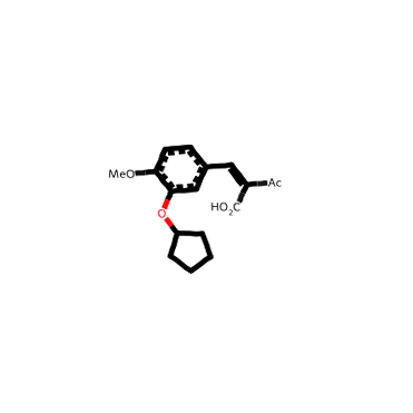 COc1ccc(C=C(C(C)=O)C(=O)O)cc1OC1CCCC1